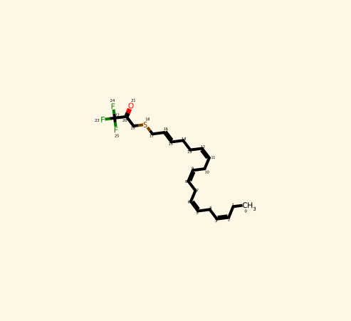 CC/C=C\C/C=C\C/C=C\C/C=C\CC/C=C/CSCC(=O)C(F)(F)F